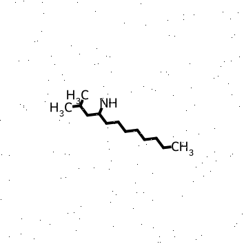 CCCCCCCCC([NH])CC(C)C